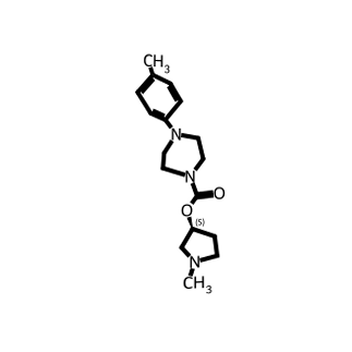 Cc1ccc(N2CCN(C(=O)O[C@H]3CCN(C)C3)CC2)cc1